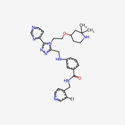 CCc1cnccc1CNC(=O)c1cccc(NCc2nnc(-c3ccncn3)n2CCOC2CCNC(C)(C)C2)c1